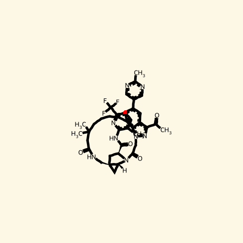 CC(=O)c1nn2c3c(cc(-c4cnc(C)nc4)cc13)CCCCC(C)(C)CC(=O)NC[C@@]13C[C@@H](C(=O)Nc4nc(C(F)(F)F)ccc4C)N(C(=O)C2)[C@@H]1C3